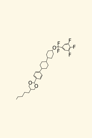 CCCCCC1COC(c2ccc(C3CCC(C4CCC(OC(F)(F)c5cc(F)c(F)c(F)c5)CC4)CC3)cc2)OC1